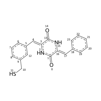 O=c1[nH]/c(=C\c2cccc(CS)c2)c(=O)[nH]/c1=C\c1ccccc1